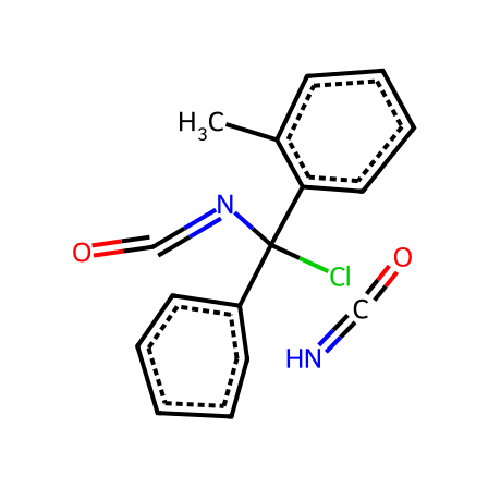 Cc1ccccc1C(Cl)(N=C=O)c1ccccc1.N=C=O